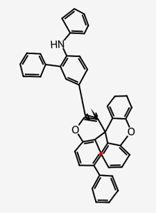 C1=C2Oc3ccccc3C3(C2=CCC1)c1ccc(-c2ccc(Nc4ccccc4)c(-c4ccccc4)c2)cc1Oc1ccc(-c2ccccc2)cc13